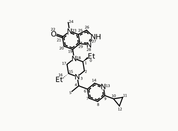 CC[C@H]1CN(C(C)c2ccc(C3CC3)nc2)[C@H](CC)CN1c1cc(=O)n(C)c2c[nH]nc12